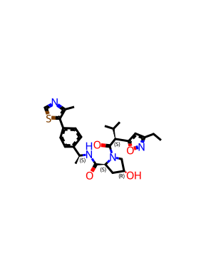 CCc1cc([C@@H](C(=O)N2C[C@H](O)C[C@H]2C(=O)N[C@@H](C)c2ccc(-c3scnc3C)cc2)C(C)C)on1